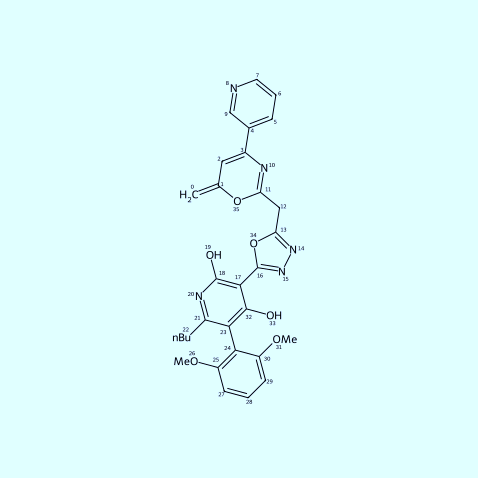 C=C1C=C(c2cccnc2)N=C(Cc2nnc(-c3c(O)nc(CCCC)c(-c4c(OC)cccc4OC)c3O)o2)O1